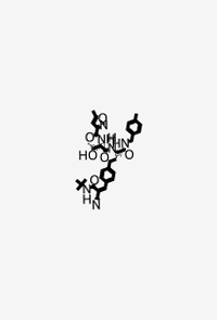 Cc1ccc(CNC(=O)[C@H](CCc2ccc(C=C(C#N)C(=O)NC(C)(C)C)cc2)NC(=O)[C@@H](NC(=O)c2cc(C)on2)[C@@H](C)O)cc1